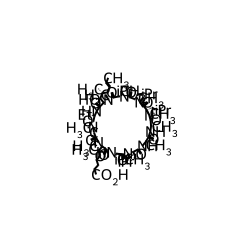 C/C=C/C[C@@H](C)[C@@H](O)[C@H]1C(=O)N[C@@H](CC)C(=O)N(C)CC(=O)N(C)[C@@H]([C@@H](C)OCCCC(=O)O)C(=O)N[C@@H](C(C)C)C(=O)N(C)C(CC(C)C)C(=O)N[C@@H](C)C(=O)N[C@H](C)C(=O)N(C)[C@@H](CC(C)C)C(=O)N(C)[C@H](CC(C)C)C(=O)N(C)[C@@H](C(C)C)C(=O)N1C